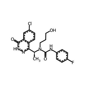 C[C@@H](c1n[nH]c(=O)c2cc(Cl)ccc12)N(CCCO)C(=O)Nc1ccc(F)cc1